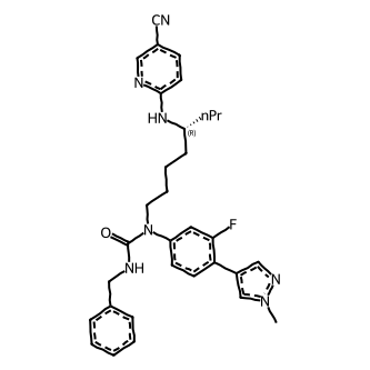 CCC[C@H](CCCCN(C(=O)NCc1ccccc1)c1ccc(-c2cnn(C)c2)c(F)c1)Nc1ccc(C#N)cn1